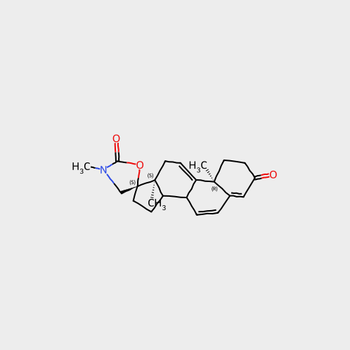 CN1C[C@@]2(CCC3C4C=CC5=CC(=O)CC[C@]5(C)C4=CC[C@@]32C)OC1=O